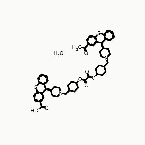 CC(=O)c1ccc2c(c1)C(=C1CCN(CC3CCC(OC(=O)C(=O)OC4CCC(CN5CCC(=C6c7ccccc7Sc7ccc(C(C)=O)cc76)CC5)CC4)CC3)CC1)c1ccccc1S2.O